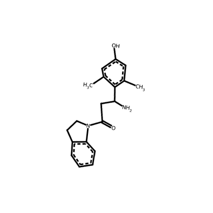 Cc1cc(O)cc(C)c1C(N)CC(=O)N1CCc2ccccc21